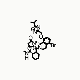 CNC(=O)[C@@H]1CCCCC1C(=O)N1CCc2c(Br)ccc(OCc3noc(C(C)C)n3)c2[C@H]1CN1CCCC1=O